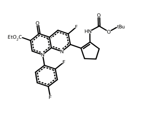 CCOC(=O)c1cn(-c2ccc(F)cc2F)c2nc(C3=C(NC(=O)OC(C)(C)C)CCC3)c(F)cc2c1=O